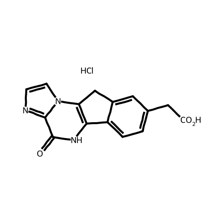 Cl.O=C(O)Cc1ccc2c(c1)Cc1c-2[nH]c(=O)c2nccn12